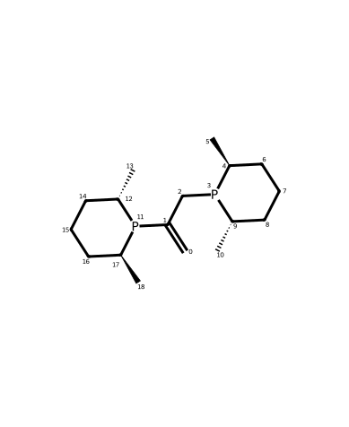 C=C(CP1[C@@H](C)CCC[C@@H]1C)P1[C@@H](C)CCC[C@@H]1C